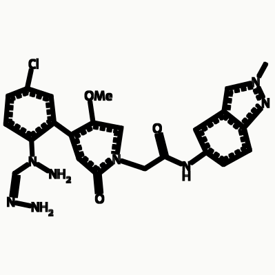 COc1cn(CC(=O)Nc2ccc3nn(C)cc3c2)c(=O)cc1-c1cc(Cl)ccc1N(N)/C=N\N